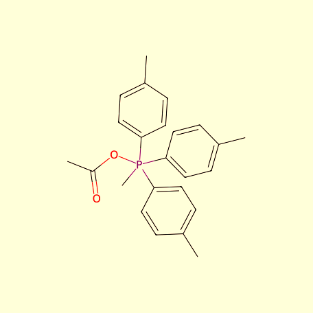 CC(=O)OP(C)(c1ccc(C)cc1)(c1ccc(C)cc1)c1ccc(C)cc1